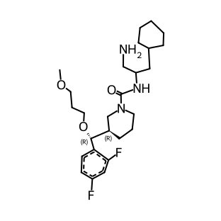 COCCCO[C@@H](c1ccc(F)cc1F)[C@@H]1CCCN(C(=O)NC(CN)CC2CCCCC2)C1